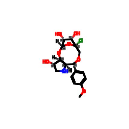 COc1ccc([C@H]2OC[C@@]3(Cl)O[C@@H](O[C@H]4[C@@H]2NC[C@@H]4O)[C@H](O)[C@@H]3O)cc1